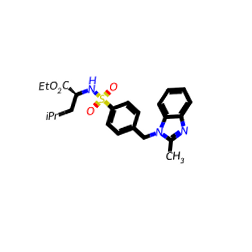 CCOC(=O)[C@H](CC(C)C)NS(=O)(=O)c1ccc(Cn2c(C)nc3ccccc32)cc1